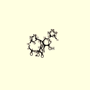 CO[C@@]12NC(=O)CSc3nnc(s3)C3S[C@@H]1N(C2=O)C(C(=O)O)=C3CSc1nnnn1C